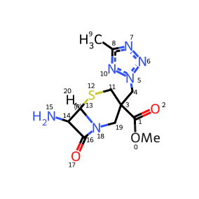 COC(=O)C1(Cn2nnc(C)n2)CS[C@@H]2C(N)C(=O)N2C1